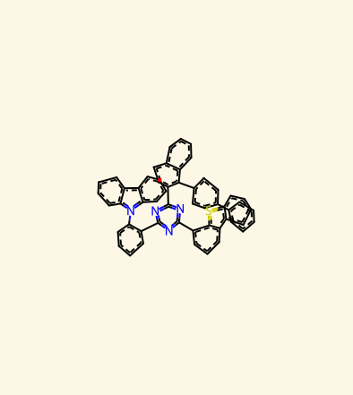 c1ccc(-c2ccc(-c3c(-c4nc(-c5ccccc5-n5c6ccccc6c6ccccc65)nc(-c5cccc6c5sc5ccccc56)n4)ccc4ccccc34)cc2)cc1